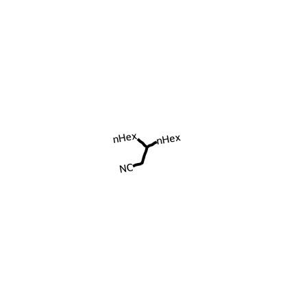 CCCCCCC(CC#N)CCCCCC